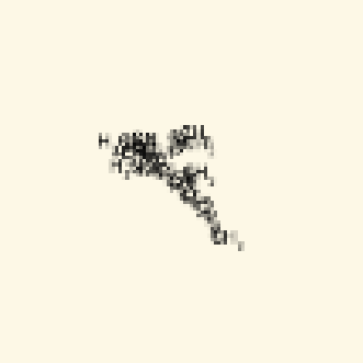 C=C(C)C(=O)OCCCc1cc(-c2ccc(-c3ccc(C4CCC(CCCCC)CC4)cc3F)c(CC)c2)cc(CCCN)c1OCC(CN)(CN)COC(=O)C(=C)C